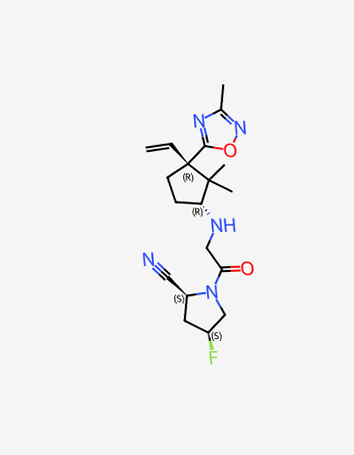 C=C[C@]1(c2nc(C)no2)CC[C@@H](NCC(=O)N2C[C@@H](F)C[C@H]2C#N)C1(C)C